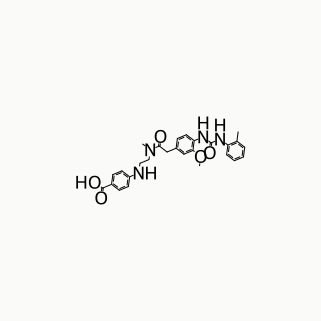 COc1cc(CC(=O)N(C)CCNc2ccc(C(=O)O)cc2)ccc1NC(=O)Nc1ccccc1C